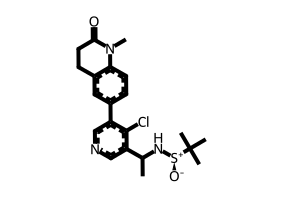 CC(N[S@+]([O-])C(C)(C)C)c1cncc(-c2ccc3c(c2)CCC(=O)N3C)c1Cl